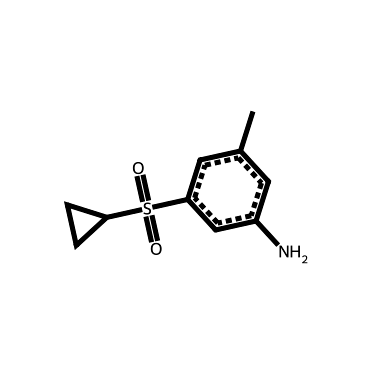 Cc1cc(N)cc(S(=O)(=O)C2CC2)c1